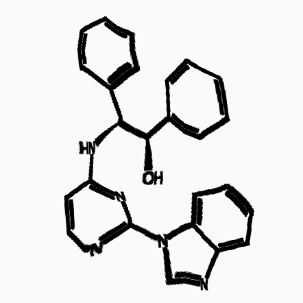 O[C@H](c1ccccc1)[C@@H](Nc1ccnc(-n2cnc3ccccc32)n1)c1ccccc1